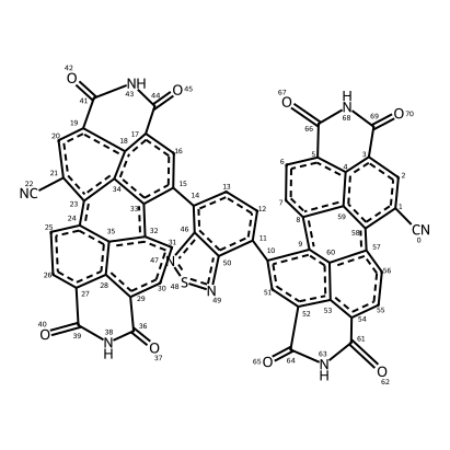 N#Cc1cc2c3c(ccc4c5c(-c6ccc(-c7cc8c9c(cc(C#N)c%10c%11ccc%12c%13c(ccc(c7c9%10)c%13%11)C(=O)NC%12=O)C(=O)NC8=O)c7nsnc67)cc6c7c(ccc(c1c34)c75)C(=O)NC6=O)C(=O)NC2=O